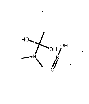 CN(C)C(C)(O)O.O=BO